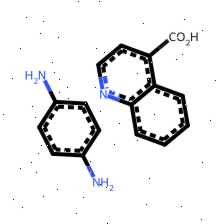 Nc1ccc(N)cc1.O=C(O)c1ccnc2ccccc12